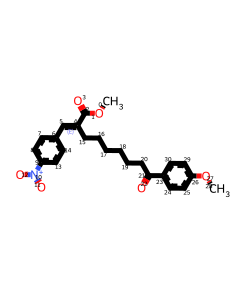 COC(=O)/C(=C/c1ccc([N+](=O)[O-])cc1)CCCCCCC(=O)c1ccc(OC)cc1